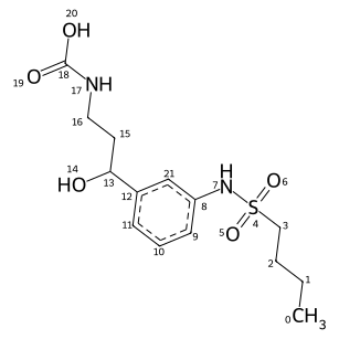 CCCCS(=O)(=O)Nc1cccc(C(O)CCNC(=O)O)c1